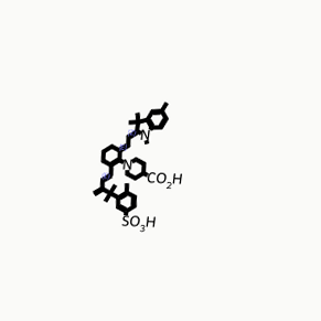 C=C(/C=C/C1=C(N2CCC(C(=O)O)CC2)C(=C/C=C2\N(C)c3ccc(C)cc3C2(C)C)/CCC1)C(C)(C)c1cc(S(=O)(=O)O)ccc1C